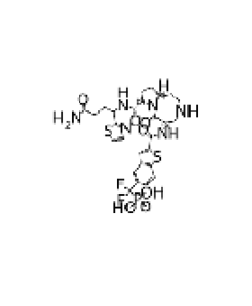 NC(=O)CCC(NC(=O)[C@@H]1CC[C@@H]2CCNC[C@H](NC(=O)c3cc4cc(C(F)(F)P(=O)(O)O)ccc4s3)C(=O)N21)c1nccs1